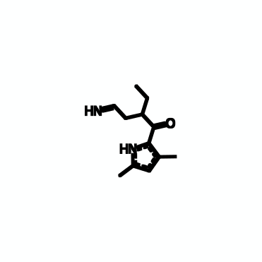 CCC(CC=N)C(=O)c1[nH]c(C)cc1C